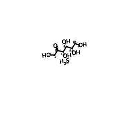 O=C(CO)[C@@H](O)[C@H](O)[C@@H](O)CO.S